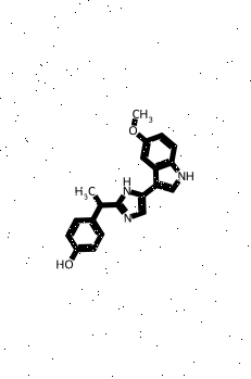 COc1ccc2[nH]cc(-c3cnc(C(C)c4ccc(O)cc4)[nH]3)c2c1